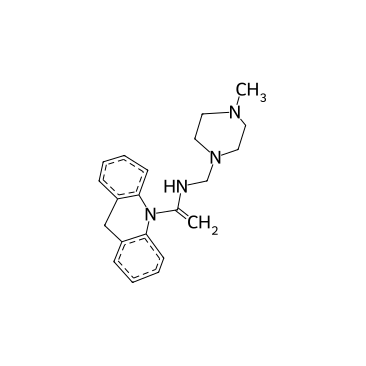 C=C(NCN1CCN(C)CC1)N1c2ccccc2Cc2ccccc21